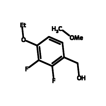 CCOc1ccc(CO)c(F)c1F.COC